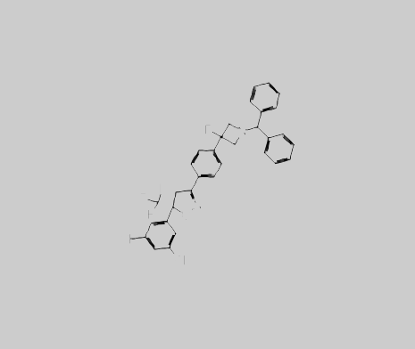 FC1(c2ccc(C3=NO[C@](c4cc(Cl)cc(Cl)c4)(C(F)(F)F)C3)cc2)CN(C(c2ccccc2)c2ccccc2)C1